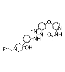 CC(=O)Nc1cc(Oc2ccc3c(c2)nc(Nc2cccc(C4(O)CCN(CCF)CC4)c2)n3C)ccn1